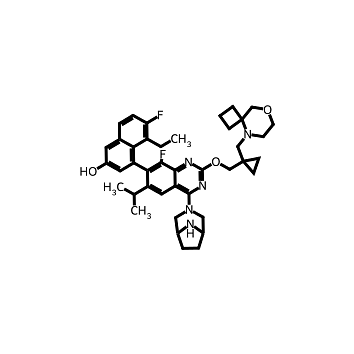 CCc1c(F)ccc2cc(O)cc(-c3c(C(C)C)cc4c(N5CC6CCC(C5)N6)nc(OCC5(CN6CCOCC67CCC7)CC5)nc4c3F)c12